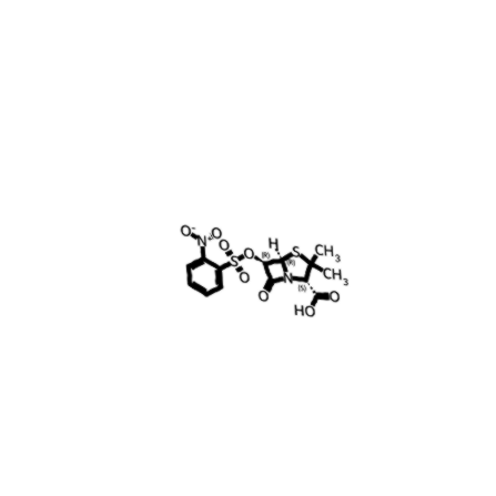 CC1(C)S[C@@H]2[C@H](OS(=O)(=O)c3ccccc3[N+](=O)[O-])C(=O)N2[C@H]1C(=O)O